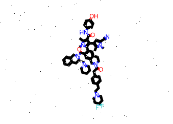 Cc1c(-c2c(C(=O)Nc3ccc(O)cc3)c(C)n(C)c2-c2cc3c(cc2C(=O)N2Cc4ccccc4C[C@H]2CN2CCCCC2)CN(C(=O)Cc2ccc(CCN4CCC(F)(F)CC4)cc2)CC3)cc(C#N)n1C